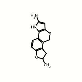 CC1Cc2c(ccc3c2CSc2cc(N)[nH]c2-3)O1